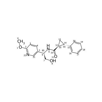 COc1ccc([C@H](CO)NC(=O)[C@H]2C[C@@H]2c2ccccc2)cn1